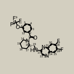 O=C(c1cccc(OC(F)(F)F)c1)N1CCCC[C@H]1CNc1cnc2cc(F)c(F)cc2n1